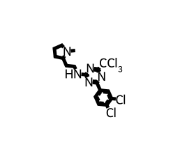 CN1CCCC1CCNc1nc(-c2ccc(Cl)c(Cl)c2)nc(C(Cl)(Cl)Cl)n1